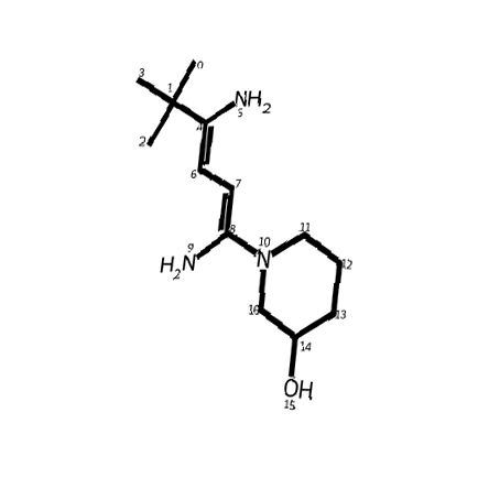 CC(C)(C)/C(N)=C/C=C(\N)N1CCCC(O)C1